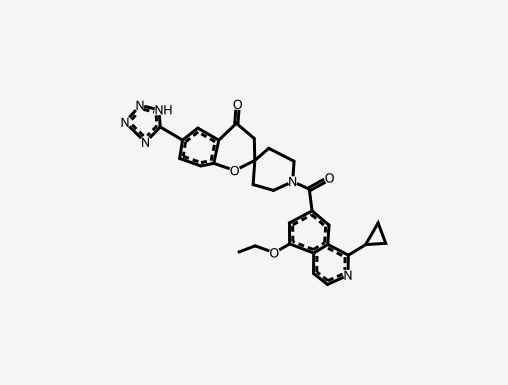 CCOc1cc(C(=O)N2CCC3(CC2)CC(=O)c2cc(-c4nnn[nH]4)ccc2O3)cc2c(C3CC3)nccc12